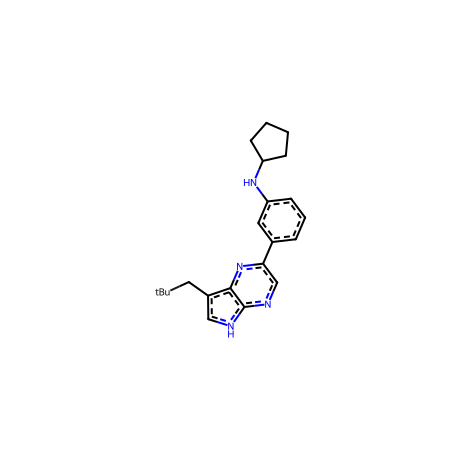 CC(C)(C)Cc1c[nH]c2ncc(-c3cccc(NC4CCCC4)c3)nc12